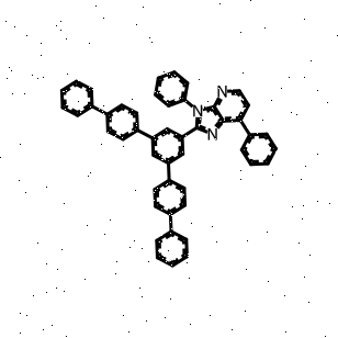 c1ccc(-c2ccc(-c3cc(-c4ccc(-c5ccccc5)cc4)cc(-c4nc5c(-c6ccccc6)ccnc5n4-c4ccccc4)c3)cc2)cc1